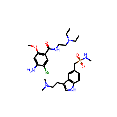 CCN(CC)CCNC(=O)c1cc(Br)c(N)cc1OC.CNS(=O)(=O)Cc1ccc2[nH]cc(CCN(C)C)c2c1